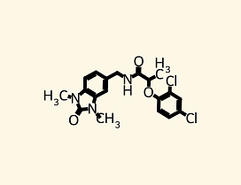 CC(Oc1ccc(Cl)cc1Cl)C(=O)NCc1ccc2c(c1)n(C)c(=O)n2C